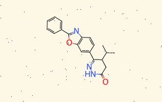 CC(C)C1CC(=O)NN=C1c1ccc2nc(-c3ccccc3)oc2c1